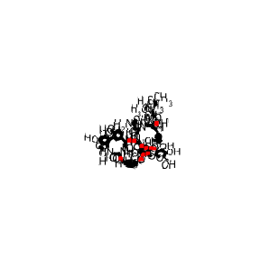 CC(C)C[C@H](C(=O)N[C@H]1C(=O)N[C@@H](CC(N)=O)C(=O)N[C@H]2C(=O)N[C@H]3C(=O)N[C@H](C(=O)N[C@H](C(=O)O)c4cc(O)cc(O)c4-c4cc3ccc4O)[C@H](O)c3ccc(c(Cl)c3)Oc3cc2cc(c3O[C@@H]2O[C@H](CO)[C@@H](O)[C@H](O)[C@H]2OC2C[C@](C)(N)[C@H](O)[C@H](C)O2)Oc2ccc(cc2Cl)[C@H]1O)[N+](C)(C)C